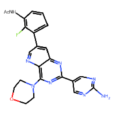 CC(=O)Nc1cccc(-c2cnc3c(N4CCOCC4)nc(-c4cnc(N)nc4)nc3c2)c1F